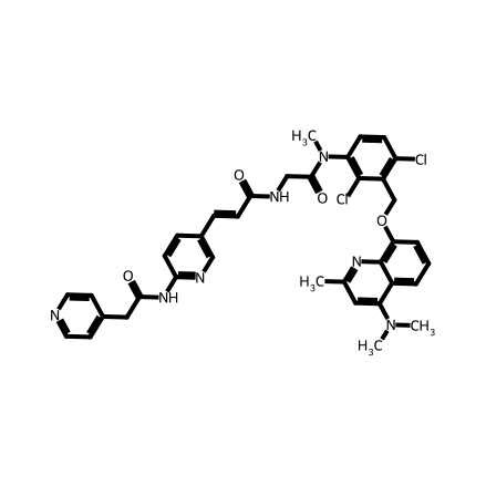 Cc1cc(N(C)C)c2cccc(OCc3c(Cl)ccc(N(C)C(=O)CNC(=O)C=Cc4ccc(NC(=O)Cc5ccncc5)nc4)c3Cl)c2n1